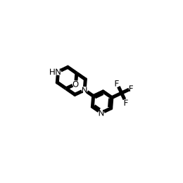 FC(F)(F)c1cncc(N2CC3CNCC(C2)O3)c1